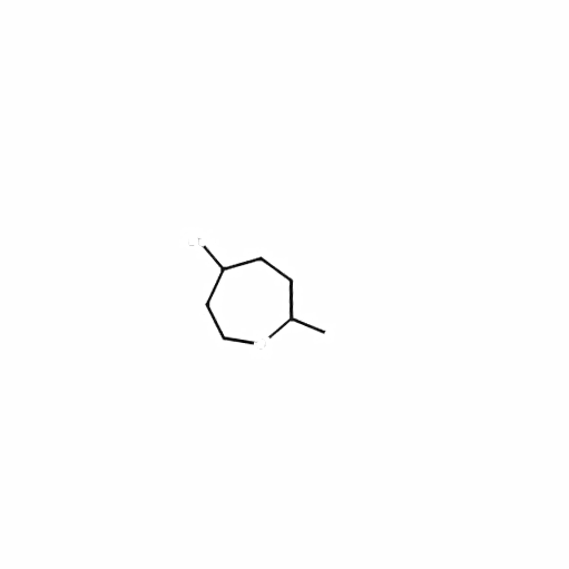 CCC1CCOC(C)CC1